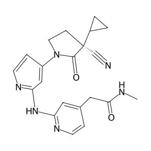 CNC(=O)Cc1ccnc(Nc2cc(N3CC[C@@](C#N)(C4CC4)C3=O)ccn2)c1